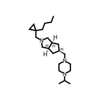 CCCCC1(CN2C[C@H]3C[C@@H](CN4CCN(C(C)C)CC4)C[C@H]3C2)CC1